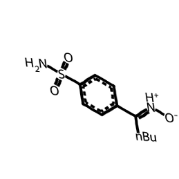 CCCCC(=[NH+][O-])c1ccc(S(N)(=O)=O)cc1